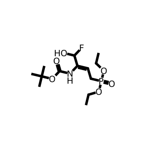 CCOP(=O)(CC=C(NC(=O)OC(C)(C)C)C(O)F)OCC